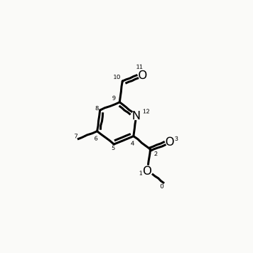 COC(=O)c1cc(C)cc(C=O)n1